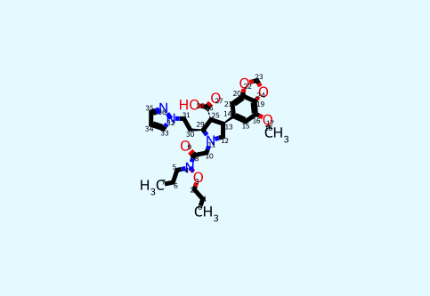 CCCON(CCC)C(=O)CN1C[C@H](c2cc(OC)c3c(c2)OCO3)[C@@H](C(=O)O)[C@@H]1CCn1cccn1